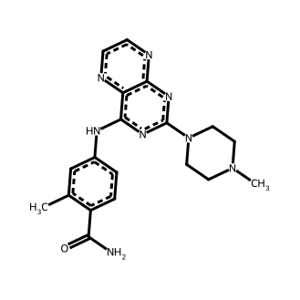 Cc1cc(Nc2nc(N3CCN(C)CC3)nc3nccnc23)ccc1C(N)=O